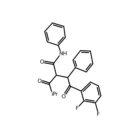 CC(C)C(=O)C(C(=O)Nc1ccccc1)C(C(=O)c1cccc(F)c1F)c1ccccc1